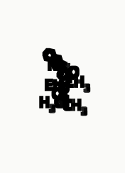 CCC(OC(=O)CN(C)C)c1cc2n(c(=O)c1C)Cc1cc3ccccc3nc1-2